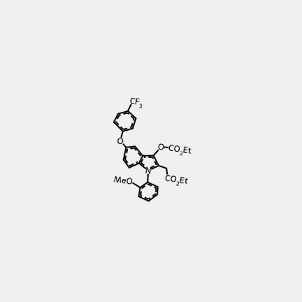 CCOC(=O)Cc1c(OC(=O)OCC)c2cc(Oc3ccc(C(F)(F)F)cc3)ccc2n1-c1ccccc1OC